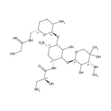 CN[C@@H]1C(O)[C@@H](OC2C(O)C(O[C@H]3O[C@H](CNC(=N)CO)CCC3N)[C@@H](N)C[C@H]2NC(=O)[C@@H](O)CN)OCC1(C)O